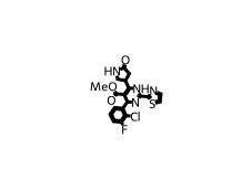 COC(=O)C1=C(C2CNC(=O)C2)NC(c2nccs2)=NC1c1cccc(F)c1Cl